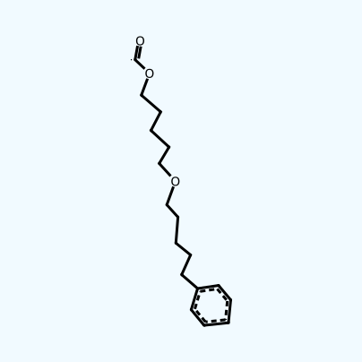 O=[C]OCCCCCOCCCCCc1ccccc1